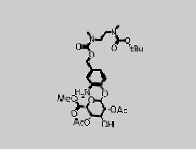 COC(=O)[C@H]1O[C@@H](Oc2ccc(COC(=O)N(C)CCN(C)C(=O)OC(C)(C)C)cc2N)[C@H](OC(C)=O)[C@@H](O)[C@@H]1OC(C)=O